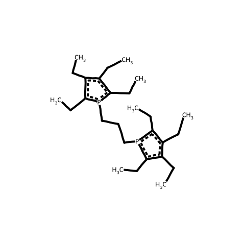 CCc1c(CC)c(CC)p(CCCp2c(CC)c(CC)c(CC)c2CC)c1CC